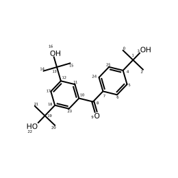 CC(C)(O)c1ccc(C(=O)c2cc(C(C)(C)O)cc(C(C)(C)O)c2)cc1